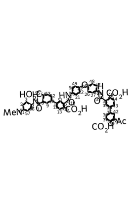 CNc1ccc(NC(=O)c2cc(-c3ccc(C(=O)O)c(C(=O)Nc4ccc(Oc5ccc(NC(=O)c6cc(-c7ccc(C(=O)O)c(C(C)=O)c7)ccc6C(=O)O)cc5)cc4)c3)ccc2C(=O)O)cc1